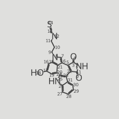 O=C1NC(=O)C(c2cn(CCCN=C=S)c3cc(O)ccc23)=C1c1c[nH]c2ccccc12